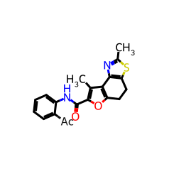 CC(=O)c1ccccc1NC(=O)c1oc2c(c1C)-c1nc(C)sc1CC2